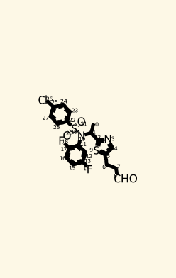 CC(c1ncc(CCC=O)s1)N(c1cc(F)ccc1F)S(=O)(=O)c1ccc(Cl)cc1